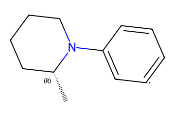 C[C@@H]1CCCCN1c1c[c]ccc1